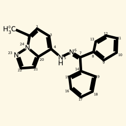 Cc1ccc(NN=C(c2ccccc2)c2ccccc2)c2ccnn12